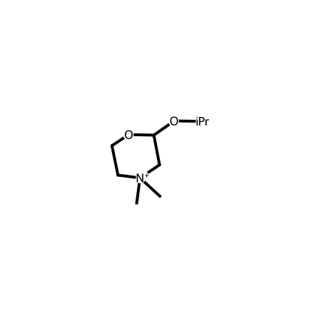 CC(C)OC1C[N+](C)(C)CCO1